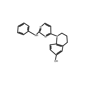 Oc1ccc2c(c1)CCCN2c1ccnc(Nc2ccccc2)n1